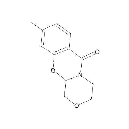 Cc1ccc2c(c1)OC1COCCN1C2=O